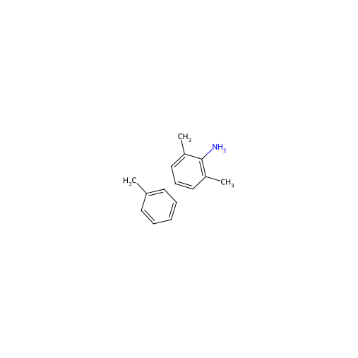 Cc1cccc(C)c1N.Cc1ccccc1